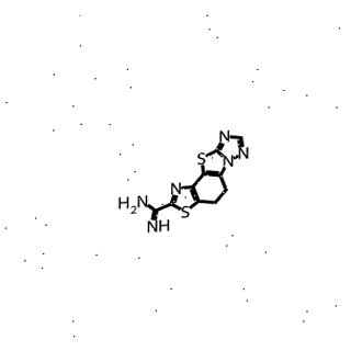 N=C(N)c1nc2c(s1)CCc1c-2sc2ncnn12